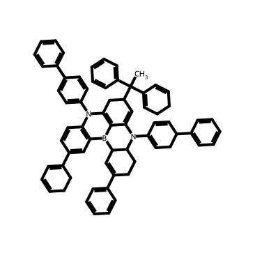 CC(C1=CCCC=C1)(c1ccccc1)C1C=C2C3=C(C1)N(c1ccc(-c4ccccc4)cc1)c1ccc(C4=CC=CCC4)cc1B3C1C=C(c3ccccc3)CCC1N2C1=CCC(c2ccccc2)C=C1